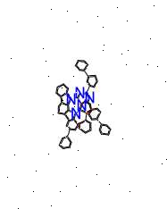 c1ccc(-c2ccc(-c3nc(-c4cccc(-c5ccccc5)c4)nc(-n4c5ccccc5c5ccc6c7cc(-c8ccccc8)ccc7n(-c7ccccc7-c7ccccc7)c6c54)n3)cc2)cc1